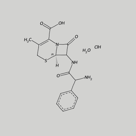 CC1=C(C(=O)O)N2C(=O)C(NC(=O)C(N)c3ccccc3)[C@H]2SC1.Cl.O